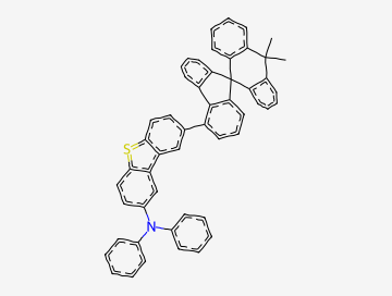 CC1(C)c2ccccc2C2(c3ccccc3-c3c(-c4ccc5sc6ccc(N(c7ccccc7)c7ccccc7)cc6c5c4)cccc32)c2ccccc21